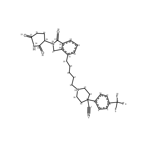 N#CC1(c2ccc(C(F)(F)F)cc2)CCN(CCCCCc2cccc3c2CN(C2CCC(=O)NC2=O)C3=O)CC1